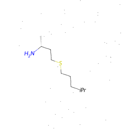 CC(C)CCCSCC[C@@H](C)N